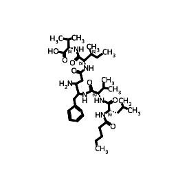 CCCCC(=O)N[C@@H](CC(C)C)C(=O)N[C@H](C(=O)NC(Cc1ccccc1)C(N)CC(=O)N[C@H](C(=O)N[C@H](C(=O)O)C(C)C)[C@@H](C)CC)C(C)C